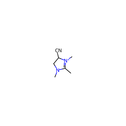 CC1=[N+](C)C(C#N)CN1C